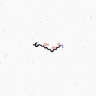 Cc1ccc(CCC(O)/C=C/CC/C=C\C(O)CCCC(=O)N(C)C)cc1